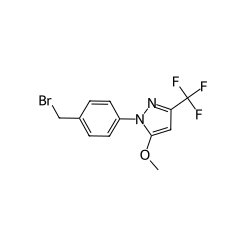 COc1cc(C(F)(F)F)nn1-c1ccc(CBr)cc1